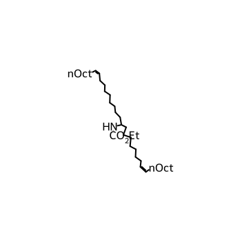 CCCCCCCC/C=C\CCCCCCCCC(CCCCCCC/C=C\CCCCCCCC)NC(=O)OCC